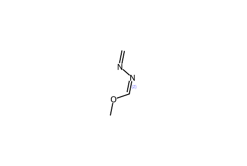 C=N/N=C\OC